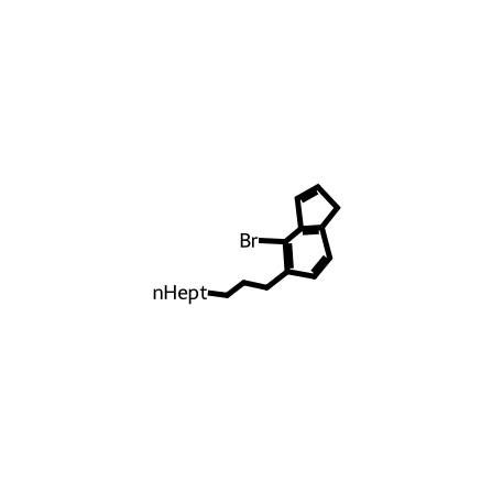 CCCCCCCCCCc1ccc2c(c1Br)C=CC2